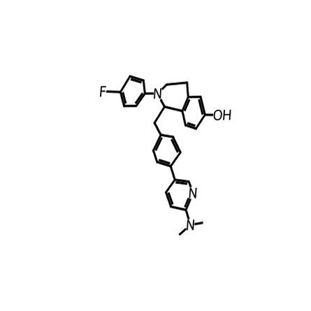 CN(C)c1ccc(-c2ccc(CC3c4ccc(O)cc4CCN3c3ccc(F)cc3)cc2)cn1